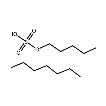 CCCCCCC.CCCCCOS(=O)(=O)O